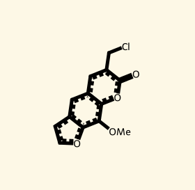 COc1c2occc2cc2cc(CCl)c(=O)oc12